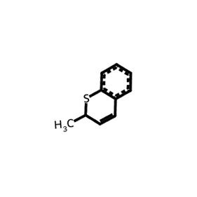 CC1C=Cc2ccccc2S1